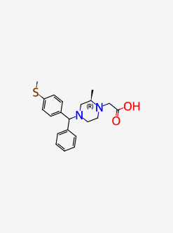 CSc1ccc(C(c2ccccc2)N2CCN(CC(=O)O)[C@H](C)C2)cc1